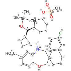 CC(C)(C)[Si](C)(C)OC([C@@H]1CCC[C@@H](OS(C)(=O)=O)C1)[C@@H]1CC[C@H]1CN1CC2(CCCc3cc(Cl)ccc32)COc2ccc(C(=O)O)cc21